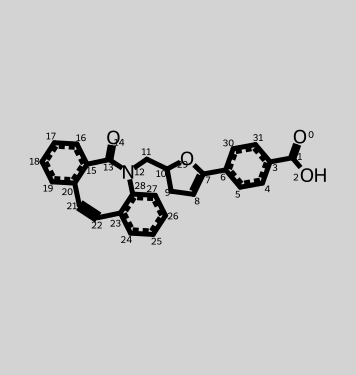 O=C(O)c1ccc(C2=CCC(CN3C(=O)c4ccccc4C#Cc4ccccc43)O2)cc1